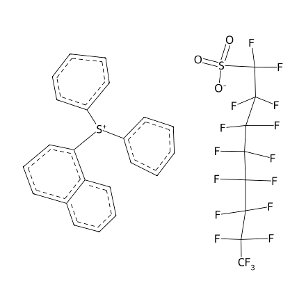 O=S(=O)([O-])C(F)(F)C(F)(F)C(F)(F)C(F)(F)C(F)(F)C(F)(F)C(F)(F)C(F)(F)F.c1ccc([S+](c2ccccc2)c2cccc3ccccc23)cc1